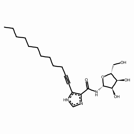 CCCCCCCCCCC#Cc1[nH]cnc1C(=O)N[C@@H]1O[C@H](CO)[C@@H](O)[C@H]1O